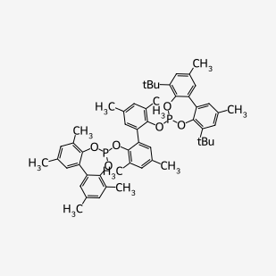 Cc1cc(C)c(Op2oc3c(C)cc(C)cc3c3cc(C)cc(C)c3o2)c(-c2cc(C)cc(C)c2Op2oc3c(C(C)(C)C)cc(C)cc3c3cc(C)cc(C(C)(C)C)c3o2)c1